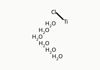 O.O.O.O.O.O.[Cl][Ti]